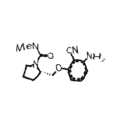 CNC(=O)N1CCC[C@H]1COc1cccc(N)c1C#N